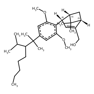 CCCCCC(C(C)C)C(C)(C)c1cc(OC)c([C@H]2C=C(CO)[C@H]3C[C@@H]2C3(C)C)c(OC)c1